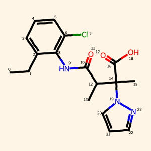 CCc1cccc(Cl)c1NC(=O)C(C)C(C)(C(=O)O)n1cccn1